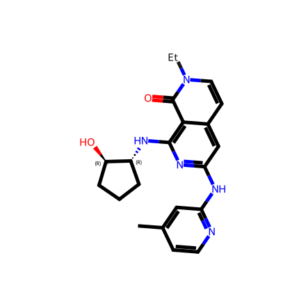 CCn1ccc2cc(Nc3cc(C)ccn3)nc(N[C@@H]3CCC[C@H]3O)c2c1=O